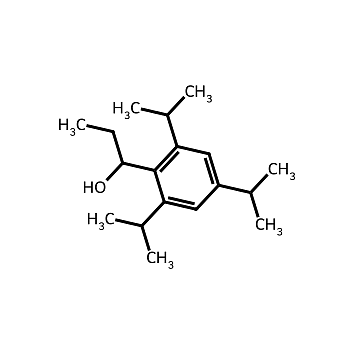 CCC(O)c1c(C(C)C)cc(C(C)C)cc1C(C)C